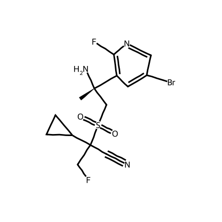 C[C@](N)(CS(=O)(=O)C(C#N)(CF)C1CC1)c1cc(Br)cnc1F